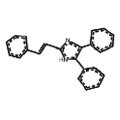 C(=C\c1nc(-c2ccccc2)c(-c2ccccc2)[nH]1)/c1ccccc1